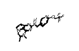 CC1Cn2ccc3nc(NCc4ccc(OCC(F)(F)F)nc4)nc(c32)N1C